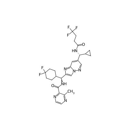 Cc1nccnc1C(=O)N[C@H](c1cn2ncc([C@H](NC(=O)CCC(F)(F)F)C3CC3)cc2n1)C1CCC(F)(F)CC1